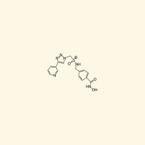 O=C(NO)c1ccc(CNS(=O)(=O)Cn2cc(-c3cccnc3)nn2)cc1